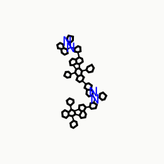 c1ccc(-c2c3c(c(-c4ccccc4)c4ccccc24)-c2ccc(-c4cccc(N(c5ccccc5)c5ccc6cc(-c7ccc8c(-c9ccccc9)c9c(c(-c%10ccccc%10)c8c7)-c7ccc(-c8cccc(N(c%10ccccn%10)c%10cccc%11ccccc%10%11)c8)c8cccc-9c78)ccc6n5)c4)c4cccc-3c24)cc1